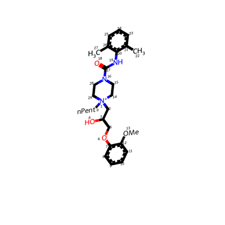 CCCCC[N+]1(CC(O)COc2ccccc2OC)CCN(C(=O)Nc2c(C)cccc2C)CC1